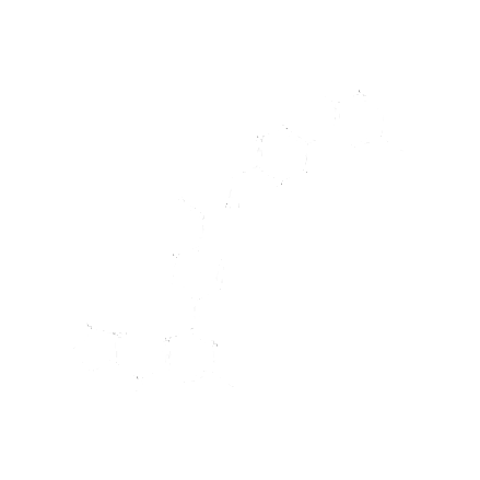 Cc1cc(Nc2ccn[nH]2)nc(-c2ccc(C(=O)NCc3nnc(-c4cc(F)cnc4C)nn3)nc2)n1